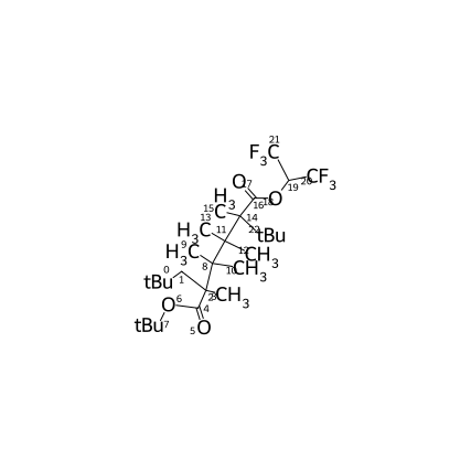 CC(C)(C)CC(C)(C(=O)OC(C)(C)C)C(C)(C)C(C)(C)C(C)(C(=O)OC(C(F)(F)F)C(F)(F)F)C(C)(C)C